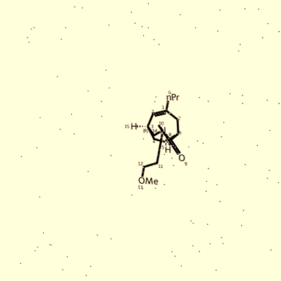 CCCC1=C[C@@H]2CNC(C1)C(=O)N(CCOC)C2